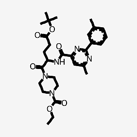 CCOC(=O)N1CCN(C(=O)C(CCC(=O)OC(C)(C)C)NC(=O)c2cc(C)nc(-c3cccc(C)c3)n2)CC1